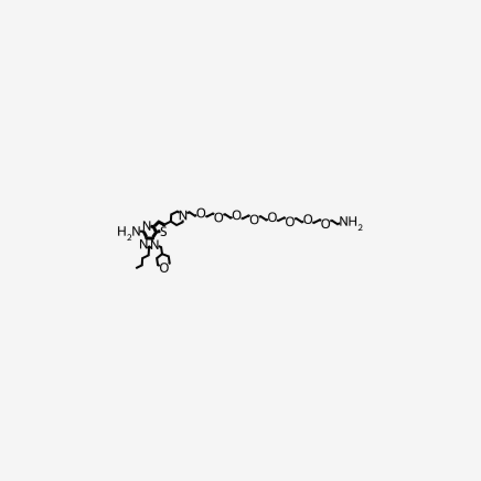 CCCCc1nc2c(N)nc3cc(C4CCN(CCOCCOCCOCCOCCOCCOCCOCCOCCN)CC4)sc3c2n1CC1CCOCC1